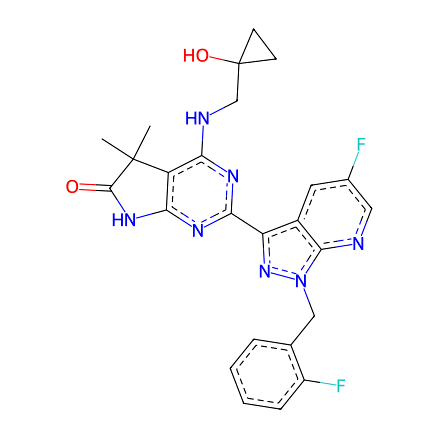 CC1(C)C(=O)Nc2nc(-c3nn(Cc4ccccc4F)c4ncc(F)cc34)nc(NCC3(O)CC3)c21